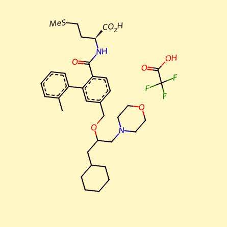 CSCC[C@H](NC(=O)c1ccc(COC(CC2CCCCC2)CN2CCOCC2)cc1-c1ccccc1C)C(=O)O.O=C(O)C(F)(F)F